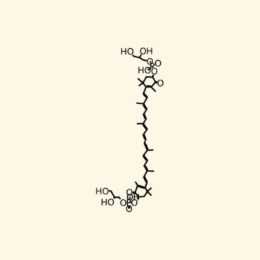 CC1=C(/C=C/C(C)=C/C=C/C(C)=C/C=C/C=C(C)/C=C/C=C(C)/C=C/C2=C(C)C(=O)C(OP(=O)(O)OCC(O)CO)CC2(C)C)C(C)(C)CC(OP(=O)(O)OCC(O)CO)C1=O